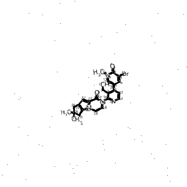 CCc1c(-c2cc(Br)c(=O)n(C)c2)ccnc1N1CCn2c(cc3c2CC(C)(C)C3)C1=O